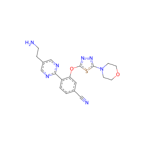 N#Cc1ccc(-c2ncc(CCN)cn2)c(Oc2nnc(N3CCOCC3)s2)c1